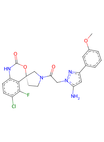 COc1cccc(-c2cc(N)n(CC(=O)N3CC[C@@]4(C3)OC(=O)Nc3ccc(Cl)c(F)c34)n2)c1